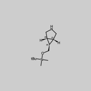 CC(C)(C)[Si](C)(C)OC[C@H]1[C@@H]2CNC[C@@H]21